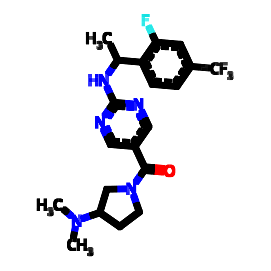 CC(Nc1ncc(C(=O)N2CCC(N(C)C)C2)cn1)c1ccc(C(F)(F)F)cc1F